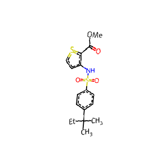 CCC(C)(C)c1ccc(S(=O)(=O)Nc2ccsc2C(=O)OC)cc1